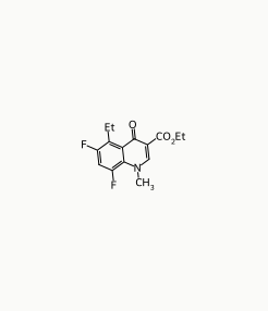 CCOC(=O)c1cn(C)c2c(F)cc(F)c(CC)c2c1=O